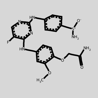 COc1cc(Nc2nc(Nc3ccc([S+](N)[O-])cc3)ncc2F)ccc1OCC(N)=O